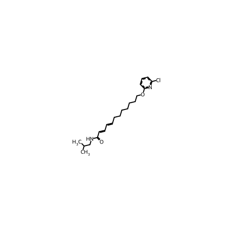 CC(C)CNC(=O)C=CC=CCCCCCCCOc1cccc(Cl)n1